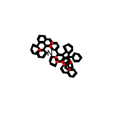 c1ccc(-c2cccc3cccc(-c4ccccc4N(c4cccc(-c5cccc6c5ccc5ccccc56)c4)c4ccccc4-c4cccc5c4-c4ccccc4C5(c4ccccc4)c4ccccc4)c23)cc1